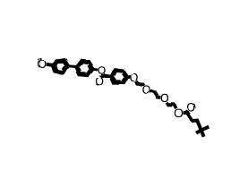 COc1ccc(-c2ccc(OC(=O)c3ccc(OCCOCCOCCOC(=O)CCC(C)(C)C)cc3)cc2)cc1